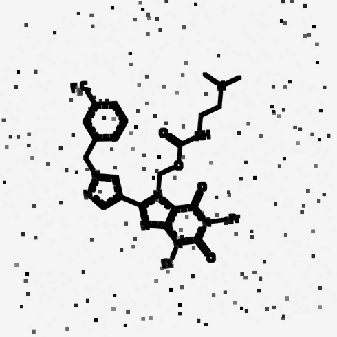 CCCn1c(=O)c2c(nc(-c3cnn(Cc4cccc(C(F)(F)F)c4)c3)n2COC(=O)NCCN(C)C)n(CC)c1=O